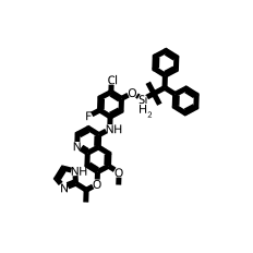 COc1cc2c(Nc3cc(O[SiH2]C(C)(C)C(c4ccccc4)c4ccccc4)c(Cl)cc3F)ccnc2cc1OC(C)c1ncc[nH]1